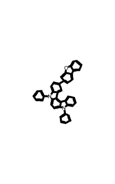 c1ccc(-n2c3ccccc3c3c4c5cc(-c6ccc7c(c6)oc6ccccc67)ccc5n(-c5ccccc5)c4ccc32)cc1